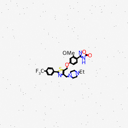 CCN1CCN(Cc2nc(-c3ccc(C(F)(F)F)cc3)sc2COc2ccc(-c3noc(=O)[nH]3)c(OC)c2)CC1